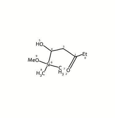 CCC(=O)CC(O)[Si](C)(C)OC